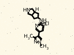 Cc1nn(C)cc1-c1ccc(NC2CC3CNC[C@H]3C2)nc1.Cl.Cl